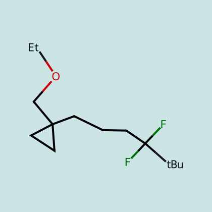 CCOCC1(CCCC(F)(F)C(C)(C)C)CC1